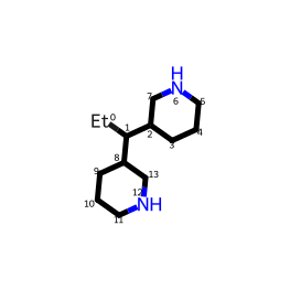 CCC(C1CCCNC1)C1CCCNC1